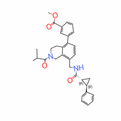 COC(=O)c1cccc(-c2ccc(CNC(=O)[C@@H]3C[C@H]3c3ccccc3)c3c2CCN(C(=O)C(C)C)C3)c1